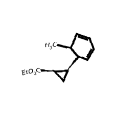 CCOC(=O)[C@@H]1C[C@@H]1C1C=CC=CC1C